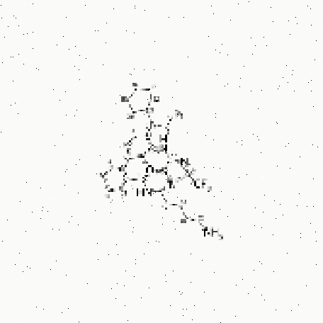 CC(C)CN(c1ccc(-c2ccccc2C(=O)NCCCCCN)cc1Nc1nc(C(F)(F)F)ns1)C1CCCCC1